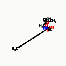 C=CCC1O[C@H](OC[C@H](NC(=O)C#CC#CC#CC#CC#CC#CC#CC#CC#CC#CC#CC#CC)[C@H](O)CC)C(C=C)[C@@H](C=C)[C@H]1C=C